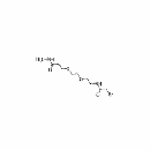 CNC(=O)CCOCCOCCNC(=O)CBr